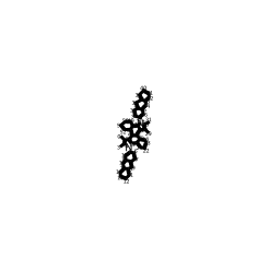 Cc1c(C)n(-c2ccc3cc4ccccc4cc3c2)c2c3ccccc3c3c4c(C)c(C)n(-c5ccc6cc7ccccc7cc6c5)c4c4ccccc4c3c12